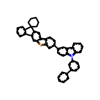 c1ccc(-c2cccc(-n3c4ccccc4c4cc(-c5ccc6c(c5)sc5cc7c(cc56)C5(CCCCC5)c5ccccc5-7)ccc43)c2)cc1